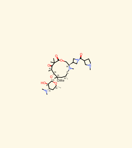 CO[C@]1(C)C[C@@H](C)CN(C)[C@H](C2CN(C(=O)C3CCN(C)C3)C2)COC(=O)C(C)(C)C(=O)[C@H](C)[C@H]1O[C@@H]1O[C@H](C)C[C@H](N(C)C)[C@H]1O